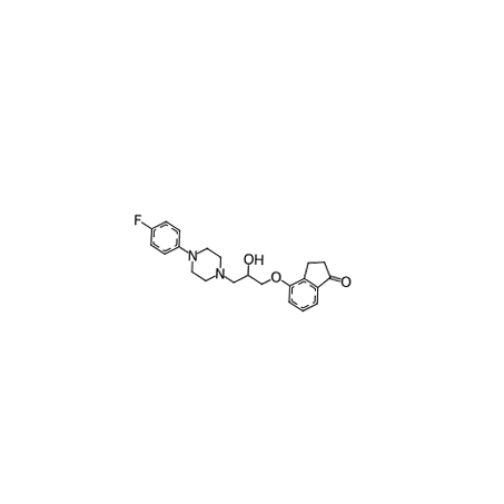 O=C1CCc2c(OCC(O)CN3CCN(c4ccc(F)cc4)CC3)cccc21